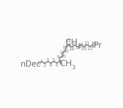 CCCCCCCCCCCCCCCCC(C)CCCCCC(C)CCCCCCCC(C)C